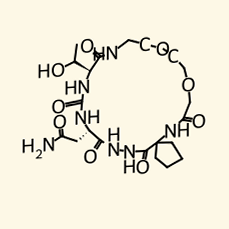 CC(O)[C@@H]1NC(=O)N[C@@H](CC(N)=O)C(=O)NNC(=O)C2(CCCC2)NC(=O)COCCOCCNC1=O